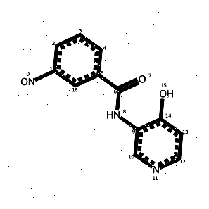 O=Nc1cccc(C(=O)Nc2cnccc2O)c1